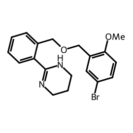 COc1ccc(Br)cc1COCc1ccccc1C1=NCCCN1